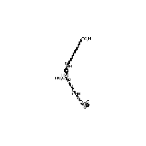 O=C(O)CCCCCCCCCCCCCCCCCCC(=O)NCC1CCC(C(=O)NC(CCC(=O)NCCOCCOCC(=O)NCCOCCOCC(=O)ON2C(=O)CCC2=O)C(=O)O)CC1